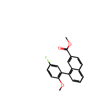 COC(=O)c1ccc2cccc(-c3cc(F)ccc3OC)c2c1